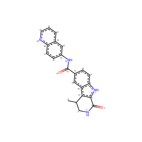 CC1CNC(=O)c2[nH]c3ccc(C(=O)Nc4ccc5ncccc5c4)cc3c21